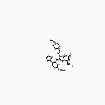 COc1ccc(-c2cccs2)c(Cc2nc3c(N)nc(F)nc3n2CCC2CCN(C(C)=O)CC2)c1